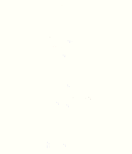 N#CCC1(n2cc(-c3ccnc4[nH]ccc34)cn2)CN(C2CCN(C(=O)Nc3ccc(F)cc3C(F)(F)F)CC2)C1